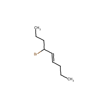 CCCC=CC(Br)CCC